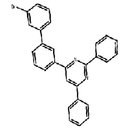 Brc1cccc(-c2cccc(-c3cc(-c4ccccc4)nc(-c4ccccc4)n3)c2)c1